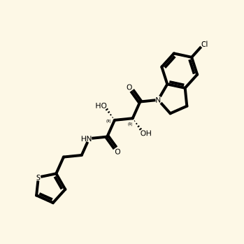 O=C(NCCc1cccs1)[C@H](O)[C@@H](O)C(=O)N1CCc2cc(Cl)ccc21